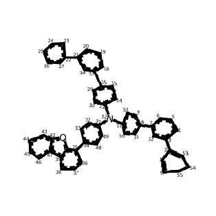 C1=CC(c2cccc(-c3ccc(N(c4ccc(-c5cccc(-c6ccccc6)c5)cc4)c4ccc(-c5cccc6c5oc5ccccc56)cc4)cc3)c2)=CCC1